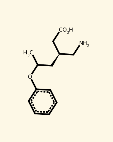 CC(C[C@H](CN)CC(=O)O)Oc1ccccc1